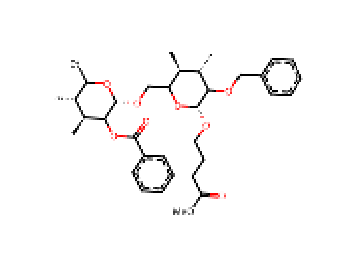 CCC1O[C@H](OCC2O[C@@H](OCCCC(=O)OC)C(OCc3ccccc3)[C@@H](C)[C@@H]2C)C(OC(=O)c2ccccc2)[C@@H](C)[C@@H]1C